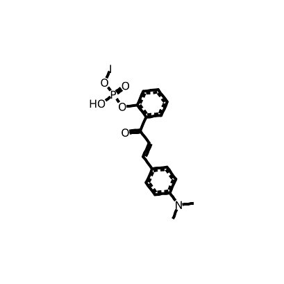 CN(C)c1ccc(/C=C/C(=O)c2ccccc2OP(=O)(O)OI)cc1